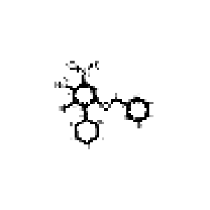 O=[N+]([O-])c1cc(OCc2ccccc2)c(C2CCCCC2)c(I)c1Br